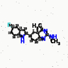 CNc1nc(C)c2cc(-c3cc4cc(F)ccc4[nH]3)ccc2n1